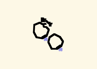 C1=C\CCCCCC/1.C1=C\CCCCCC/1.[Br][Ir]